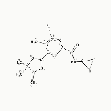 C=C1OB(c2cc(C(=O)NC3CC3)cc(F)c2C)OC1(C)C